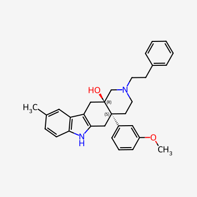 COc1cccc([C@@]23CCN(CCc4ccccc4)C[C@@]2(O)Cc2c([nH]c4ccc(C)cc24)C3)c1